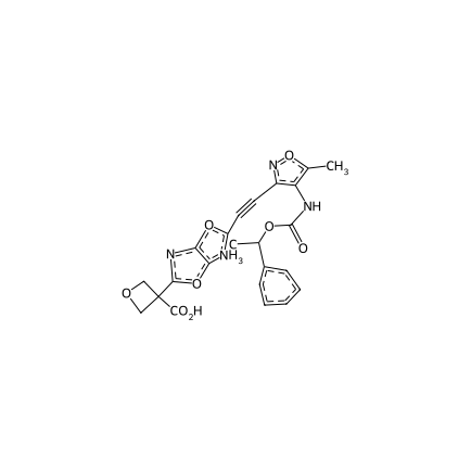 Cc1onc(C#Cc2nc3oc(C4(C(=O)O)COC4)nc3o2)c1NC(=O)OC(C)c1ccccc1